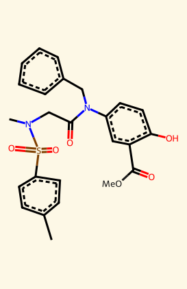 COC(=O)c1cc(N(Cc2ccccc2)C(=O)CN(C)S(=O)(=O)c2ccc(C)cc2)ccc1O